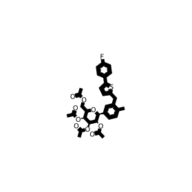 CC(=O)OCC1O[C@@H](c2ccc(C)c(Cc3ccc(-c4ccc(F)cc4)s3)c2)[C@H](OC(C)=O)[C@@H](OC(C)=O)[C@@H]1OC(C)=O